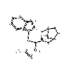 CN(Cc1n[nH]c2ccccc12)C1CC2CCC(C1)N2C.O=CO